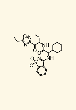 CCc1nc(C(=O)[C@H](CC)NC(=O)C(NC2=NS(=O)(=O)c3ccccc32)C2CCCCC2)no1